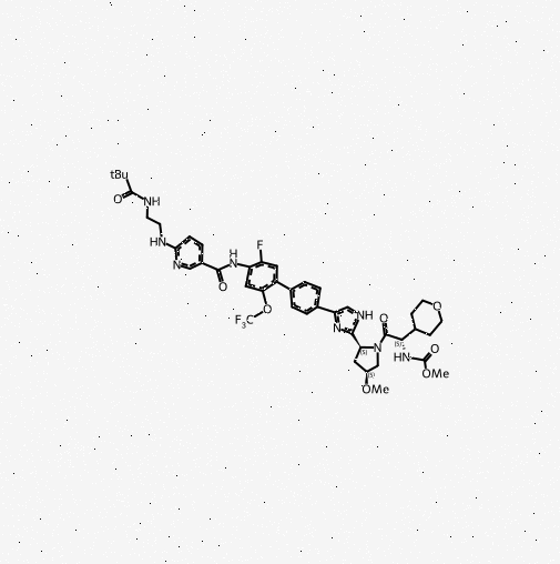 COC(=O)N[C@H](C(=O)N1C[C@@H](OC)C[C@H]1c1nc(-c2ccc(-c3cc(F)c(NC(=O)c4ccc(NCCNC(=O)C(C)(C)C)nc4)cc3OC(F)(F)F)cc2)c[nH]1)C1CCOCC1